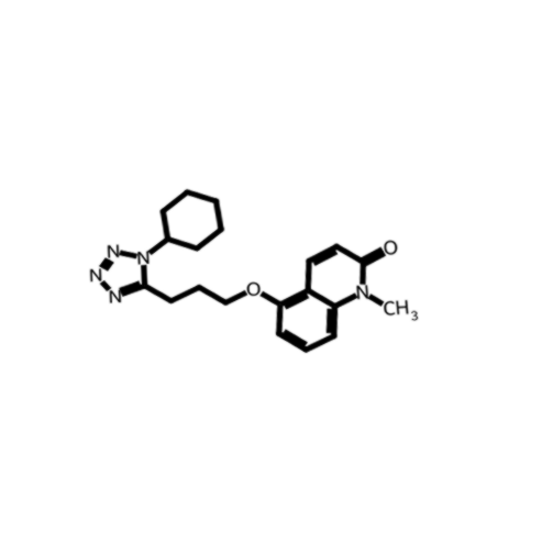 Cn1c(=O)ccc2c(OCCCc3nnnn3C3CCCCC3)cccc21